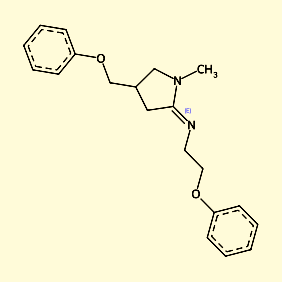 CN1CC(COc2ccccc2)C/C1=N\CCOc1ccccc1